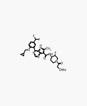 COCC(=O)N1CC[C@@H](NC(=O)c2c(C)[nH]c3c(-c4cc(C(F)F)ccc4OCC4CC4)ncnc23)[C@@H](F)C1